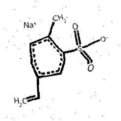 C=Cc1ccc(C)c(S(=O)(=O)[O-])c1.[Na+]